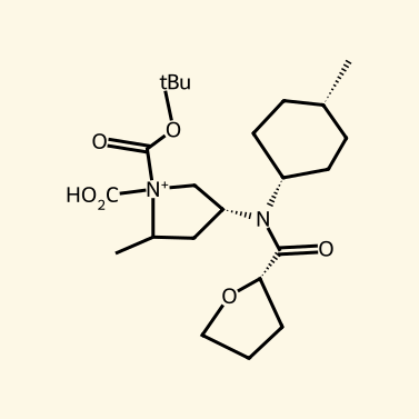 CC1C[C@@H](N(C(=O)[C@@H]2CCCO2)[C@H]2CC[C@@H](C)CC2)C[N+]1(C(=O)O)C(=O)OC(C)(C)C